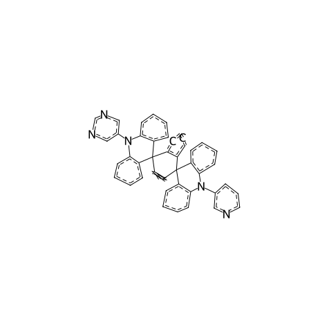 c1cncc(N2c3ccccc3C3(c4ccccc42)c2ccccc2C2(c4ccccc4N(c4cncnc4)c4ccccc42)c2ccccc23)c1